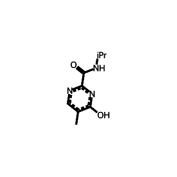 Cc1cnc(C(=O)NC(C)C)nc1O